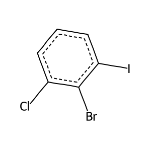 Clc1cccc(I)c1Br